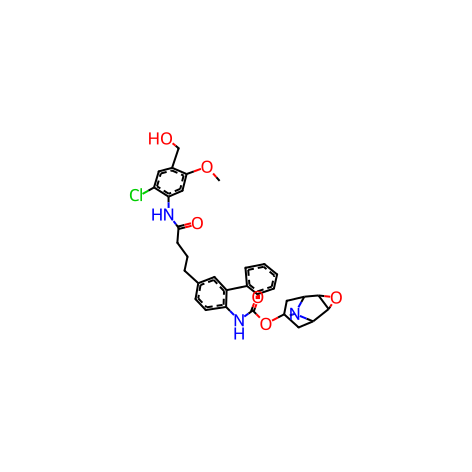 COc1cc(NC(=O)CCCc2ccc(NC(=O)OC3CC4C5OC5C(C3)N4C)c(-c3ccccc3)c2)c(Cl)cc1CO